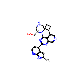 OC[C@H]1CNCCN1c1nc(-c2ccnc3[nH]c(C(F)(F)F)cc23)nc2cncc(C3CCC3)c12